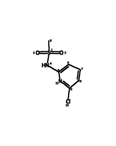 CS(=O)(=O)Nc1cc[c]c(Cl)n1